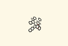 c1ccc(-c2nc(-c3ccccc3)nc(-c3c(-n4c5ccccc5c5cc6ccccc6cc54)c4ccccc4c4sc5ccccc5c34)n2)cc1